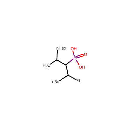 CCCCCCC(C)C(C(CC)CCCC)P(=O)(O)O